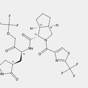 O=C1NCC[C@H]1C[C@H](NC(=O)[C@@H]1[C@H]2CCC[C@H]2CN1C(=O)c1csc(C(F)(F)F)n1)C(=O)COC(F)(F)F